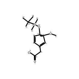 COc1cc(CC(=O)Cl)ccc1O[Si](C)(C)C(C)(C)C